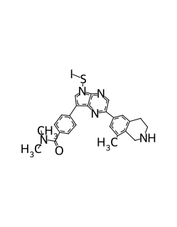 Cc1cc(-c2cnc3c(n2)c(-c2ccc(C(=O)N(C)C)cc2)cn3SI)cc2c1CNCC2